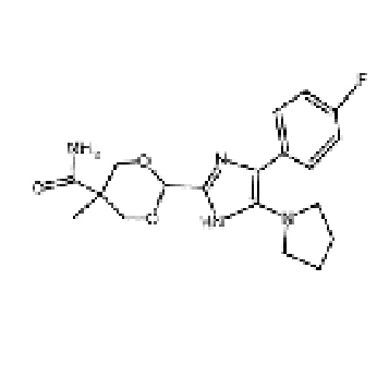 CC1(C(N)=O)COC(c2nc(-c3ccc(F)cc3)c(N3CCCC3)[nH]2)OC1